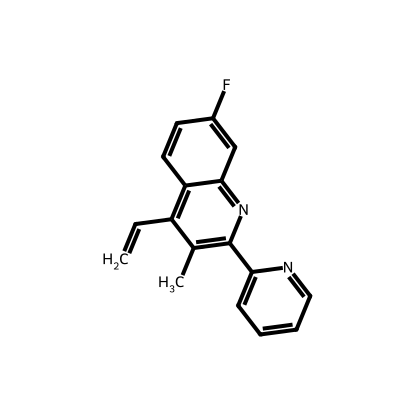 C=Cc1c(C)c(-c2ccccn2)nc2cc(F)ccc12